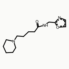 O=C(CCCCN1CCCCC1)NCc1ncco1